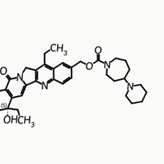 CCc1c2c(nc3ccc(COC(=O)N4CCCC(N5CCCCC5)CC4)cc13)-c1cc3c(c(=O)n1C2)COC(=O)[C@]3(O)CC